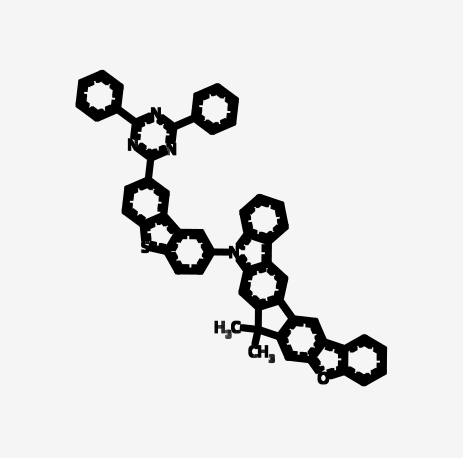 CC1(C)c2cc3oc4ccccc4c3cc2-c2cc3c4ccccc4n(-c4ccc5sc6ccc(-c7nc(-c8ccccc8)nc(-c8ccccc8)n7)cc6c5c4)c3cc21